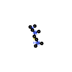 c1ccc(C2=NC(c3ccc4c(c3)sc3ccc(-c5nc(-c6ccccc6)nc(-c6ccc7c8ccccc8n(-c8ccccc8)c7c6)n5)cc34)NC(c3ccccc3)=N2)cc1